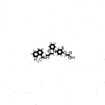 C[C@@H](NCCC1CN(c2ccc(OCC(=O)O)c(F)c2)c2ccccc2O1)c1cccc2ccccc12